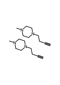 C#CCCN1CCN(C)CC1.C#CCCN1CCN(C)CC1